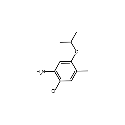 Cc1cc(Cl)c(N)cc1OC(C)C